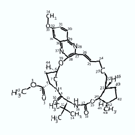 COC(=O)[C@@H]1C[C@@H]2CN1C(=O)[C@H](C(C)(C)C)NC(=O)O[C@H]1[C@H](CCC/C=C/c3nc4ccc(OC)cc4nc3O2)CC[C@H]1C